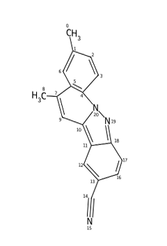 Cc1ccc2c(c1)c(C)cc1c3cc(C#N)ccc3nn21